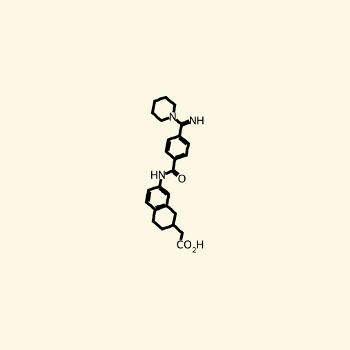 N=C(c1ccc(C(=O)Nc2ccc3c(c2)CC(CC(=O)O)CC3)cc1)N1CCCCC1